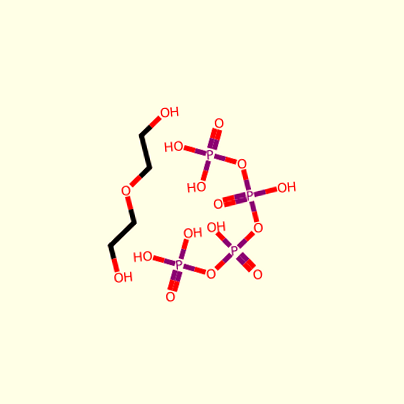 O=P(O)(O)OP(=O)(O)OP(=O)(O)OP(=O)(O)O.OCCOCCO